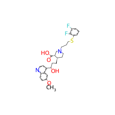 COc1ccc2nccc([C@H](O)CC[C@@H]3CCN(CCCSc4cccc(F)c4F)C[C@@H]3C(=O)O)c2c1